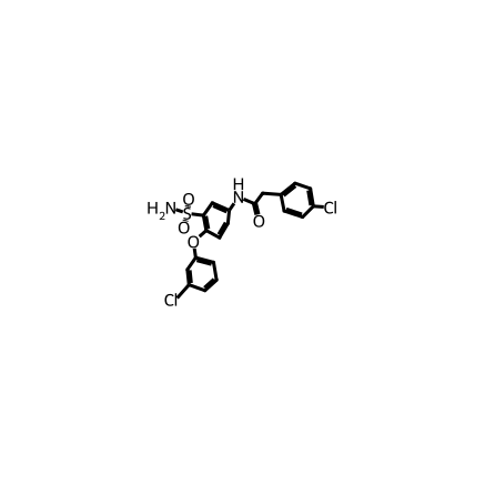 NS(=O)(=O)c1cc(NC(=O)Cc2ccc(Cl)cc2)ccc1Oc1cccc(Cl)c1